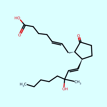 CCCCCC(C)(O)C=C[C@@H]1CCC(=O)[C@H]1CC=CCCCC(=O)O